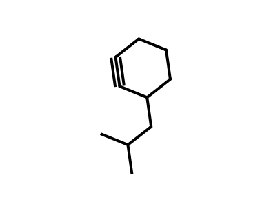 CC(C)CC1C#CCCC1